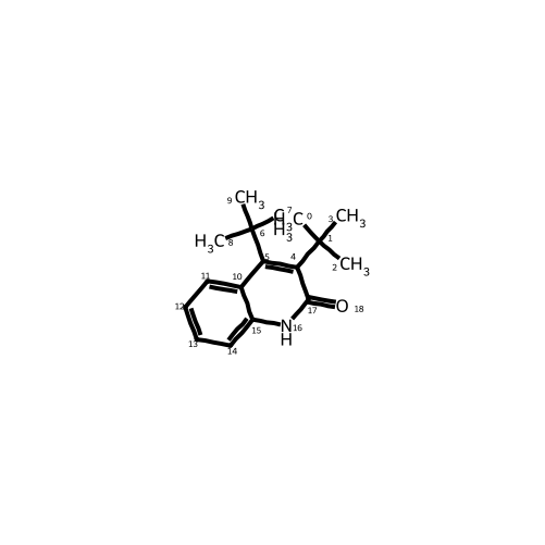 CC(C)(C)c1c(C(C)(C)C)c2ccccc2[nH]c1=O